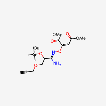 C#CCOCC(O[Si](C)(C)C(C)(C)C)/C(N)=N/OC(=CC(=O)OC)C(=O)OC